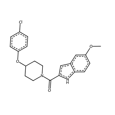 COc1ccc2[nH]c(C(=O)N3CCC(Oc4ccc(Cl)cc4)CC3)cc2c1